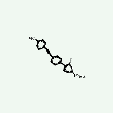 CCCCCc1ccc(-c2ccc(C#Cc3ccc(C#N)cc3)cc2)c(F)c1